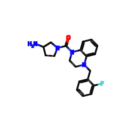 NC1CCN(C(=O)N2CCN(Cc3ccccc3F)c3ccccc32)C1